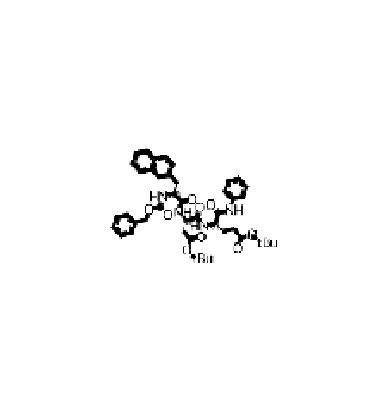 CC(C)(C)OC(=O)CC[C@H](NC(=O)[C@H](CC(=O)OC(C)(C)C)NC(=O)[C@H](Cc1ccc2ccccc2c1)NC(=O)OCc1ccccc1)C(=O)Nc1ccccc1